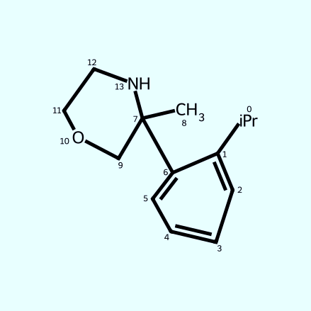 CC(C)c1ccccc1C1(C)COCCN1